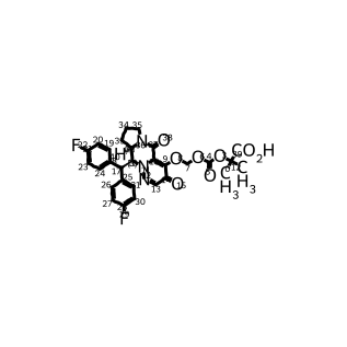 CC(C)(OC(=O)OCOc1c2n(ncc1=O)[C@@H](C(c1ccc(F)cc1)c1ccc(F)cc1)[C@H]1CCCN1C2=O)C(=O)O